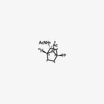 CC(=O)N[C@@H]1C[C@@H]2CC[C@H]1N2C(C)=O